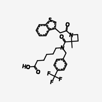 CC1(C(=O)N(CCCCCC(=O)O)Cc2ccc(C(F)(F)F)cc2)CCN1C(=O)Cc1csc2ccccc12